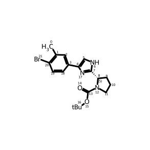 Cc1cc(-c2c[nH]c([C@@H]3CCCN3C(=O)OC(C)(C)C)n2)ccc1Br